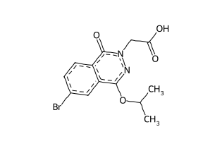 CC(C)Oc1nn(CC(=O)O)c(=O)c2ccc(Br)cc12